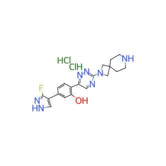 Cl.Cl.Oc1cc(-c2c[nH]nc2F)ccc1-c1cnc(N2CC3(CCNCC3)C2)nn1